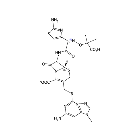 Cn1cn[n+]2c(SCC3=C(C(=O)[O-])N4C(=O)C(NC(=O)/C(=N\OC(C)(C)C(=O)O)c5csc(N)n5)[C@@H]4SC3)nc(N)cc12